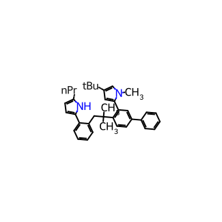 CCCc1ccc(-c2ccccc2CC(C)(C)c2ccc(-c3ccccc3)cc2-c2cc(C(C)(C)C)cn2C)[nH]1